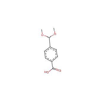 COC(OC)c1ccc(C(=O)O)cc1